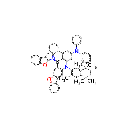 Cc1cc2c(cc1N1c3cc4c(cc3B3c5c(cc(N(c6ccccc6)c6ccccc6)cc51)-c1cccc5c6c7ccccc7oc6n3c15)oc1ccccc14)C(C)(C)CCC2(C)C